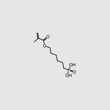 C=C(C)C(=O)OCCCCCCP(=O)(O)O